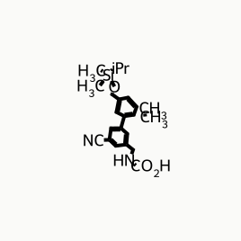 CC.CC(C)[Si](C)(C)OCc1cccc(-c2cc(C#N)cc(CNC(=O)O)c2)c1